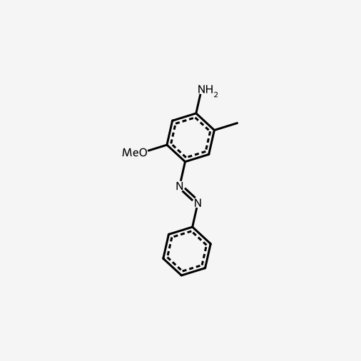 COc1cc(N)c(C)cc1/N=N/c1ccccc1